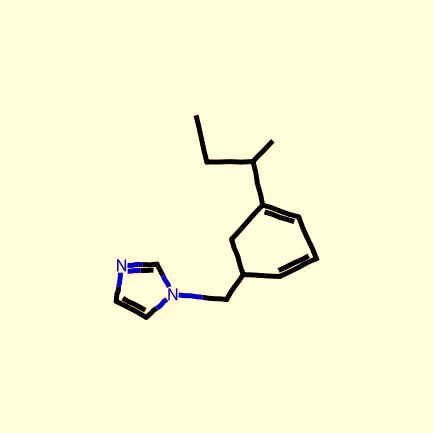 CCC(C)C1=CC=CC(Cn2ccnc2)C1